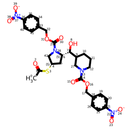 CC(=O)S[C@H]1C[C@@H](C(O)C2CCCN(C(=O)OCc3ccc([N+](=O)[O-])cc3)C2)N(C(=O)OCc2ccc([N+](=O)[O-])cc2)C1